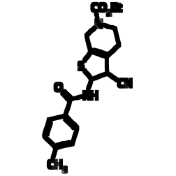 CCOC(=O)N1CCC2=C(C1)SC(NC(=O)c1ccc(C)cc1)C2C#N